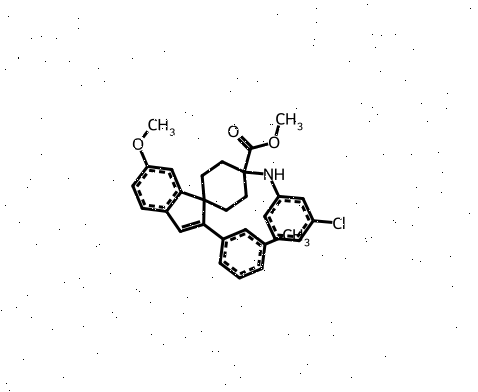 COC(=O)C1(Nc2cccc(Cl)c2)CCC2(CC1)C(c1cccc(C)c1)=Cc1ccc(OC)cc12